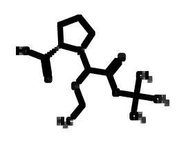 CCOC(C(=O)OC(C)(C)C)N1CCC[C@H]1C(=O)O